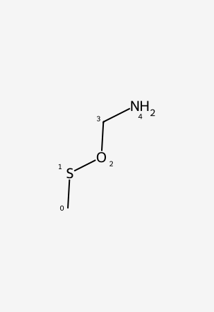 CSOCN